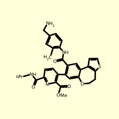 CCCNC(=O)c1ccc(-c2cc3c(cc2C(=O)Nc2ccc(CN)cc2C)-c2ccsc2CCO3)c(C(=O)OC)n1